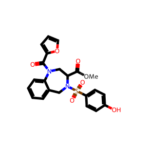 COC(=O)C1CN(C(=O)c2ccco2)c2ccccc2CN1S(=O)(=O)c1ccc(O)cc1